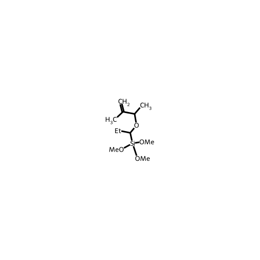 C=C(C)C(C)OC(CC)[Si](OC)(OC)OC